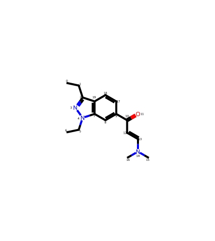 CCc1nn(CC)c2cc(C(=O)/C=C/N(C)C)ccc12